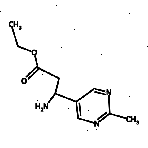 CCOC(=O)CC(N)c1cnc(C)nc1